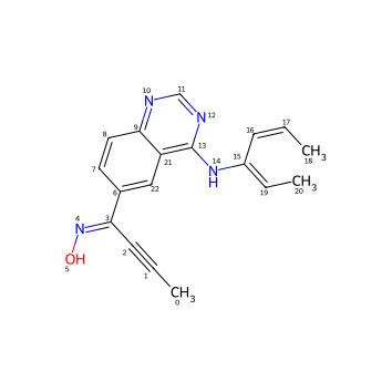 CC#C/C(=N\O)c1ccc2ncnc(NC(/C=C\C)=C/C)c2c1